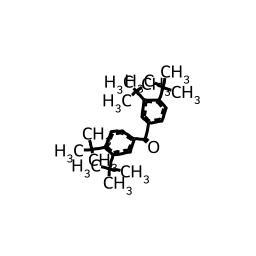 CC(C)(C)c1ccc(C(=O)c2ccc(C(C)(C)C)c(C(C)(C)C)c2)cc1C(C)(C)C